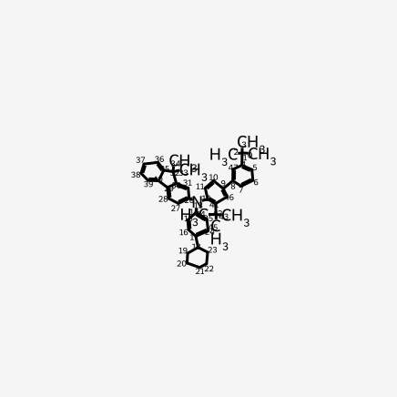 CC(C)(C)c1cccc(-c2ccc(N(c3ccc(C4CCCCC4)cc3)c3ccc4c(c3)C(C)(C)c3ccccc3-4)c(C(C)(C)C)c2)c1